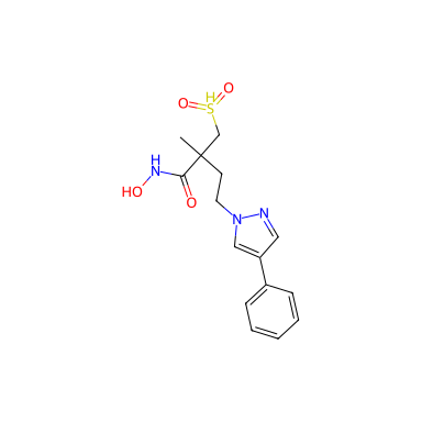 CC(CCn1cc(-c2ccccc2)cn1)(C[SH](=O)=O)C(=O)NO